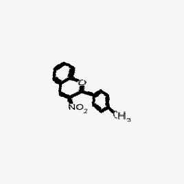 Cc1ccc(C2Oc3ccccc3C=C2[N+](=O)[O-])cc1